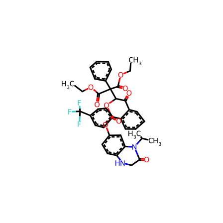 CCOC(=O)C(C(=O)OCC)(c1ccccc1)C(OC(=O)Oc1ccc2c(c1)N(C(C)C)C(=O)CN2)C(=O)c1ccccc1-c1ccc(C(F)(F)F)cc1